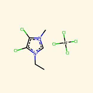 CC[n+]1cn(C)c(Cl)c1Cl.[Cl][Al-]([Cl])([Cl])[Cl]